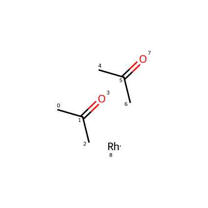 CC(C)=O.CC(C)=O.[Rh]